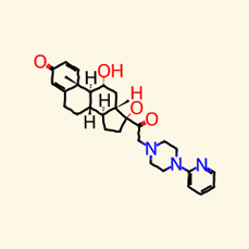 C[C@]12C=CC(=O)C=C1CC[C@@H]1[C@@H]2[C@H](O)C[C@@]2(C)[C@H]1CC[C@]2(O)C(=O)CN1CCN(c2ccccn2)CC1